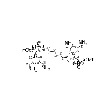 CCCCCCCCOP(=O)(CCN(CCCN)CCCN)OCCCCCCCCCCOP(=O)(CCN(CCCN)CCCN)OCCCCCCCC